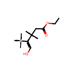 CCOC(=O)CC(C)(C)C(=CO)[Si](C)(C)C